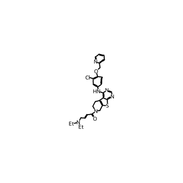 CCN(CC)CC=CC(=O)N1CCc2c(sc3ncnc(Nc4ccc(OCc5ccccn5)c(Cl)c4)c23)C1